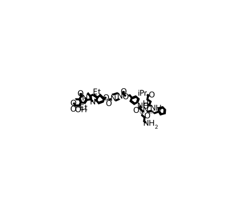 CCc1c2c(nc3ccc(OC(=O)N4CCN(C(=O)OCc5ccc(NC(=O)[C@H](CCCN)NC(=O)[C@H](Cc6ccccc6)NC(=O)CCC(=O)C(C)C)cc5)CC4)cc13)-c1cc3c(c(=O)n1C2)COC(=O)[C@]3(O)CC